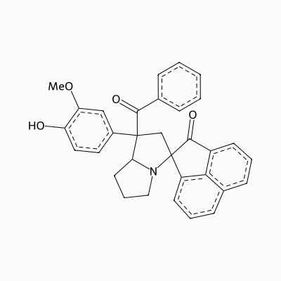 COc1cc(C2(C(=O)c3ccccc3)CC3(C(=O)c4cccc5cccc3c45)N3CCCC32)ccc1O